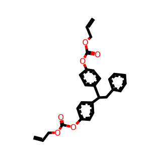 C=CCOC(=O)Oc1ccc(C(Cc2ccccc2)c2ccc(OC(=O)OCC=C)cc2)cc1